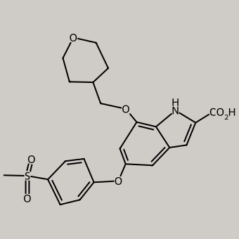 CS(=O)(=O)c1ccc(Oc2cc(OCC3CCOCC3)c3[nH]c(C(=O)O)cc3c2)cc1